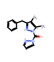 Cc1c(Cc2ccccc2)nn(C(=O)n2cccn2)c1C